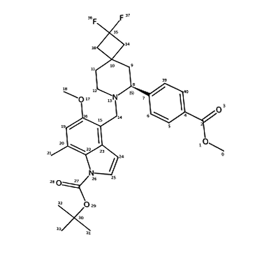 COC(=O)c1ccc([C@@H]2CC3(CCN2Cc2c(OC)cc(C)c4c2ccn4C(=O)OC(C)(C)C)CC(F)(F)C3)cc1